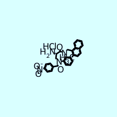 Cc1ccc2ccccc2c1CN1C(=O)[C@@H](N)CN(C(=O)c2ccc([N+](=O)[O-])cc2)c2ccccc21.Cl